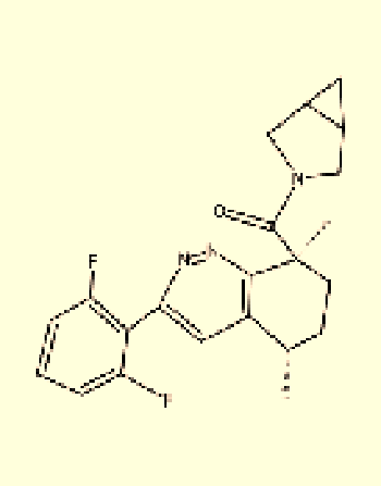 C[C@H]1CC[C@](C)(C(=O)N2CC3CC3C2)c2nnc(-c3c(F)cccc3F)cc21